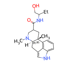 CCC(CO)NC(=O)C1CN(C)[C@@H]2Cc3c[nH]c4cccc(c34)[C@@]2(C)C1